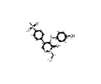 CS(=O)(=O)c1ccc(-c2cnn(CC(F)(F)F)c(=O)c2Oc2ccc(C#N)cc2)cc1